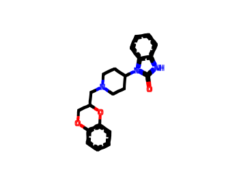 O=c1[nH]c2ccccc2n1C1CCN(CC2COc3ccccc3O2)CC1